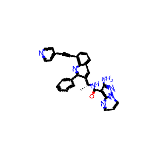 C[C@@H](NC(=O)c1c(N)nn2cccnc12)c1cc2cccc(C#Cc3ccncc3)c2nc1-c1ccccc1